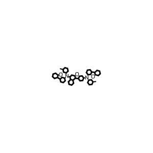 Cc1cccc(N(c2ccc3c(c2)oc2cc(N(c4cccc(C)c4)c4cccc5c4oc4ccccc45)c4ccccc4c23)c2cccc3c2oc2ccccc23)c1